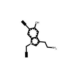 C#CCn1cc(CCN)c2cc(O)c(C#C)cc21